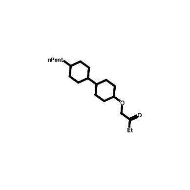 CCCCCC1CCC(C2CCC(OCC(=O)CC)CC2)CC1